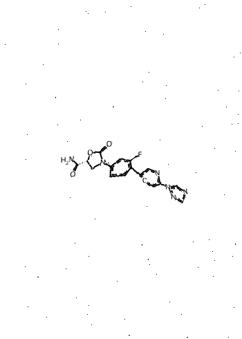 NC(=O)[C@H]1CN(c2ccc(-c3ccc(-n4cncn4)nc3)c(F)c2)C(=O)O1